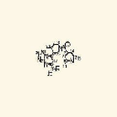 CC1=CCN(C(=O)c2cc(C)nc(C)c2)C[C@H]1c1cc(C(F)F)nc2ncnn12